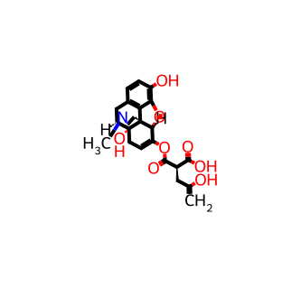 C=C(O)C[C@H](C(=O)O)C(=O)OC1=CC[C@@]2(O)[C@H]3Cc4ccc(O)c5c4[C@@]2(CCN3C)[C@H]1O5